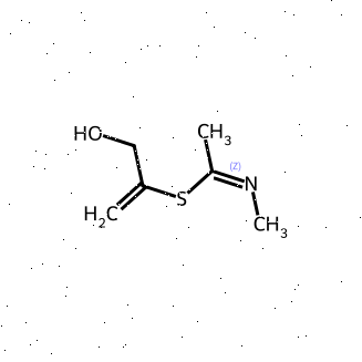 C=C(CO)S/C(C)=N\C